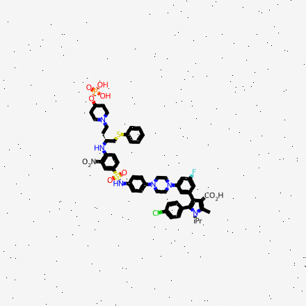 Cc1c(C(=O)O)c(-c2cc(F)cc(N3CCN(c4ccc(NS(=O)(=O)c5ccc(N[C@H](CCN6CCC(OP(=O)(O)O)CC6)CSc6ccccc6)c([N+](=O)[O-])c5)cc4)CC3)c2)c(-c2ccc(Cl)cc2)n1C(C)C